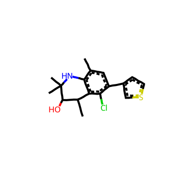 Cc1cc(-c2ccsc2)c(Cl)c2c1NC(C)(C)C(O)C2C